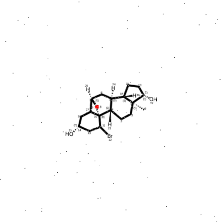 C[C@]12CC[C@H]3[C@@H](C[C@H]4OC[C@@]35C(Br)C[C@H](O)CC45)[C@@H]1CC[C@@H]2O